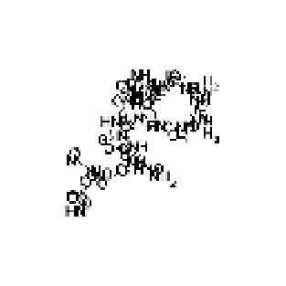 CNC(=O)c1ccccc1Sc1ccc2c(/C=C/c3ccccn3)nn(C(=O)OCc3ccc(NC(=O)[C@H](CCCNC(N)=O)NC(=O)CNC(=O)[C@H](CCC(=O)O)NC(=O)CCC(=O)NC(C(=O)N[C@@H](CCN)C(=O)N[C@@H]4CCNC(=O)[C@@H]([C@H](C)O)NC(=O)[C@H](CCN)NC(=O)[C@H](CCN)NC(=O)[C@H](CC(C)C)NC(=O)CNC(=O)[C@H](CCN)NC4=O)[C@H](C)O)cc3)c2c1